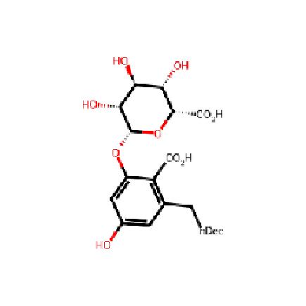 CCCCCCCCCCCc1cc(O)cc(O[C@H]2O[C@@H](C(=O)O)[C@@H](O)[C@H](O)[C@H]2O)c1C(=O)O